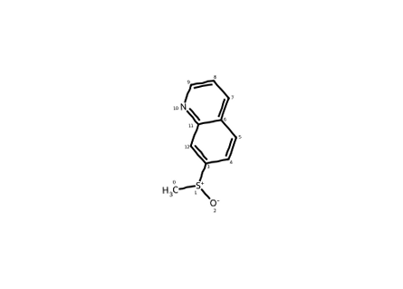 C[S+]([O-])c1ccc2cccnc2c1